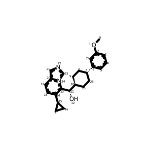 COc1cccc([C@H]2CC[C@H]([C@H](O)c3c(C4CC4)ccc4cncn34)CC2)c1